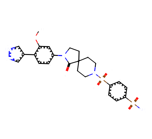 COc1cc(N2CCC3(CCN(S(=O)(=O)c4ccc(S(N)(=O)=O)cc4)CC3)C2=O)ccc1-c1cn[nH]c1